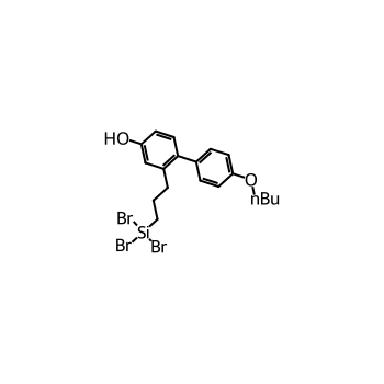 CCCCOc1ccc(-c2ccc(O)cc2CCC[Si](Br)(Br)Br)cc1